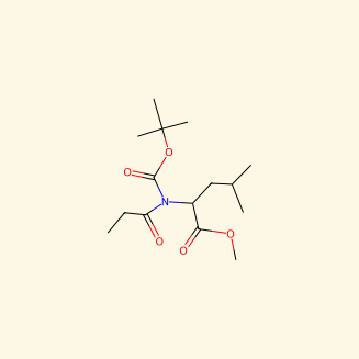 CCC(=O)N(C(=O)OC(C)(C)C)C(CC(C)C)C(=O)OC